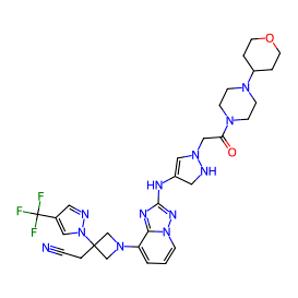 N#CCC1(n2cc(C(F)(F)F)cn2)CN(c2cccn3nc(NC4=CN(CC(=O)N5CCN(C6CCOCC6)CC5)NC4)nc23)C1